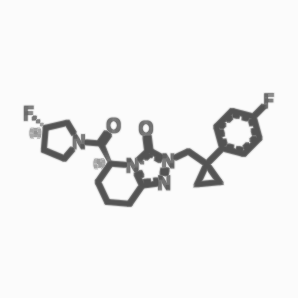 O=C([C@@H]1CCCc2nn(CC3(c4ccc(F)cc4)CC3)c(=O)n21)N1CC[C@H](F)C1